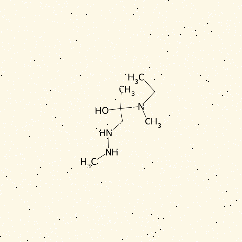 CCN(C)C(C)(O)CNNC